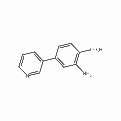 Nc1cc(-c2cccnc2)ccc1C(=O)O